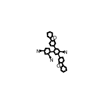 N#Cc1ccc(-c2cc(-c3ccc4c(c3)oc3ccccc34)c(C#N)cc2-c2ccc3c(c2)oc2ccccc23)c(C#N)c1